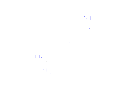 N=C(N)CCCN=NCCCC(=N)N